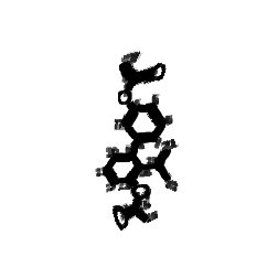 CC(=O)Oc1cccc(-c2cccc(OC(C)=O)c2C(C)C)c1